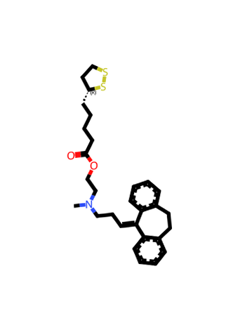 CN(CCC=C1c2ccccc2CCc2ccccc21)CCOC(=O)CCCC[C@@H]1CCSS1